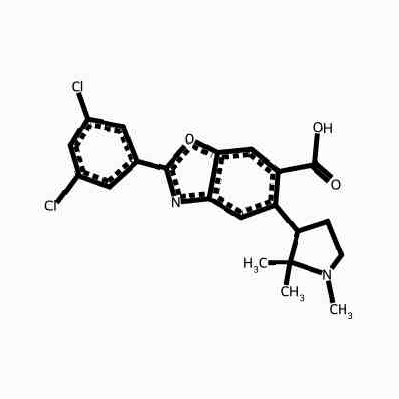 CN1CCC(c2cc3nc(-c4cc(Cl)cc(Cl)c4)oc3cc2C(=O)O)C1(C)C